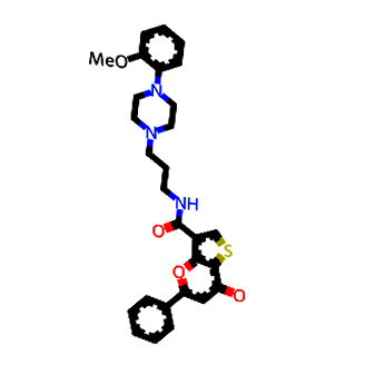 COc1ccccc1N1CCN(CCCNC(=O)c2csc3c(=O)cc(-c4ccccc4)oc23)CC1